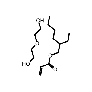 C=CC(=O)OCC(CC)CCCC.OCCOCCO